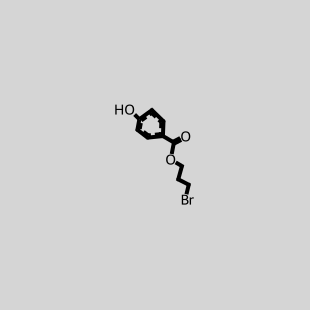 O=C(OCCCBr)c1ccc(O)cc1